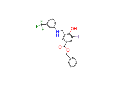 O=C(OCc1ccccc1)c1cc(I)c(O)c(CNc2cccc(C(F)(F)F)c2)c1